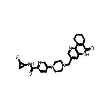 O=C(NC1CC1F)c1ccc(N2CCN(Cc3cnc4c5c(c(=O)[nH]c4c3)CCCC5)CC2)cn1